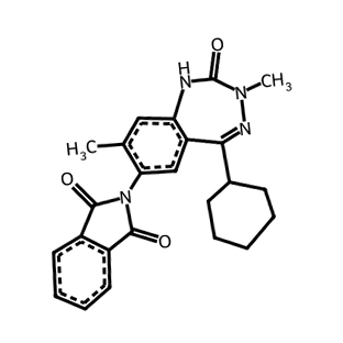 Cc1cc2c(cc1N1C(=O)c3ccccc3C1=O)C(C1CCCCC1)=NN(C)C(=O)N2